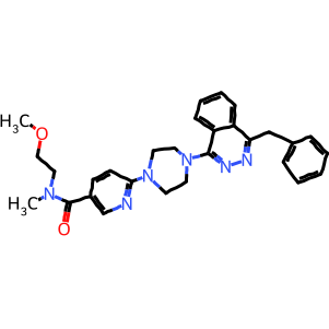 COCCN(C)C(=O)c1ccc(N2CCN(c3nnc(Cc4ccccc4)c4ccccc34)CC2)nc1